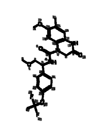 COCC(NC(=O)N1CC(=O)Nc2cc(C)c(OC)nc21)c1ccc(OC(C)(F)F)cc1